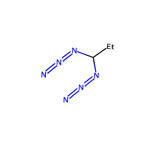 CCC(N=[N+]=[N-])N=[N+]=[N-]